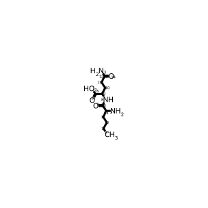 CCCCC(N)C(=O)NC(CCC(N)=O)C(=O)O